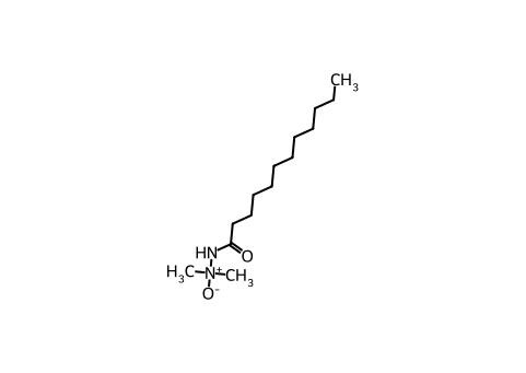 CCCCCCCCCCCC(=O)N[N+](C)(C)[O-]